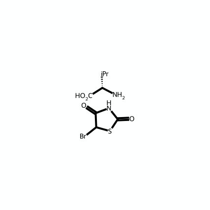 CC(C)[C@H](N)C(=O)O.O=C1NC(=O)C(Br)S1